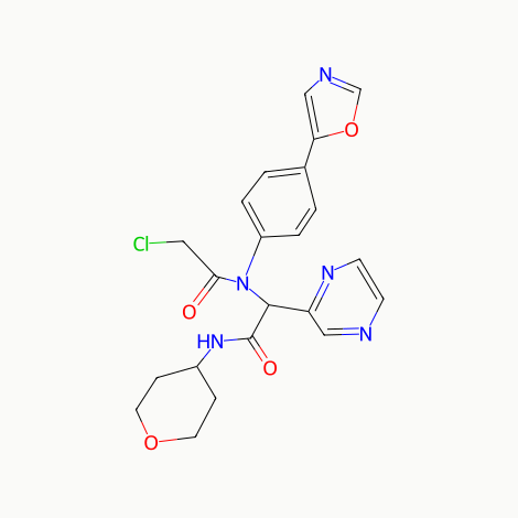 O=C(NC1CCOCC1)C(c1cnccn1)N(C(=O)CCl)c1ccc(-c2cnco2)cc1